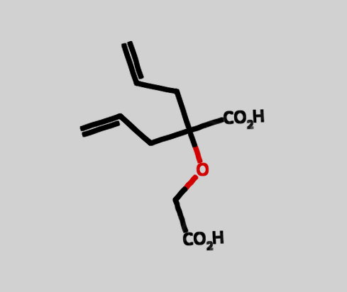 C=CCC(CC=C)(OCC(=O)O)C(=O)O